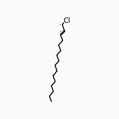 CCCCCCCCCCCCC/C=C/[CH]Cl